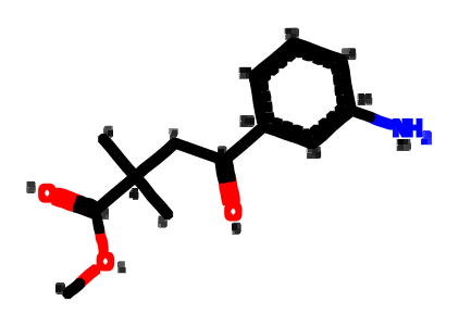 COC(=O)C(C)(C)CC(=O)c1cccc(N)c1